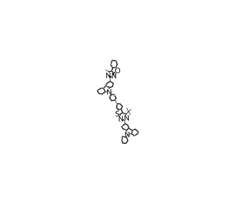 Cc1nc(-c2ccc3c(c2)c2ccccc2n3-c2ccc(-c3ccc4c(c3)sc3nc(-c5ccc6c(c5)c5ccccc5n6-c5ccccc5)nc(C(C)(C)C)c34)cc2)nc2oc3ccccc3c12